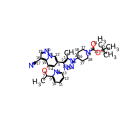 Cc1c(-c2cc(OC(C)c3ccccn3)c3c(C#N)cnn3c2)nnn1C1CCN(C(=O)OC(C)(C)C)CC1